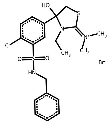 CCN1C(=[N+](C)C)SCC1(O)c1ccc(Cl)c(S(=O)(=O)NCc2ccccc2)c1.[Br-]